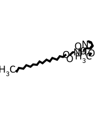 CCCCCCCCCCCCCCCCOC(=O)CNC(=O)Oc1ncccc1OC